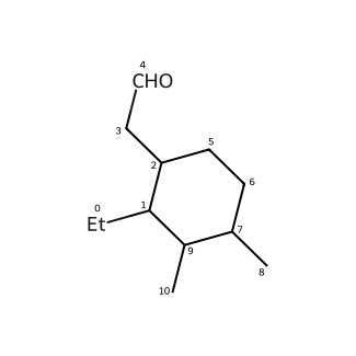 CCC1C(CC=O)CCC(C)C1C